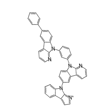 C1=[N+]=c2c(c3ccccc3n2-c2ccc3c(c2)c2cccnc2n3-c2cccc(-n3c4ccc(-c5ccccc5)cc4c4cccnc43)c2)=C1